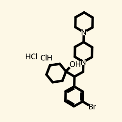 Cl.Cl.OC1(C(CN2CCC(N3CCCCC3)CC2)c2cccc(Br)c2)CCCCC1